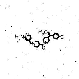 C/C=C(/c1ccc(Cl)cc1)C1CCN(C(=O)C2CCN(Cc3ccnc(N)c3)CC2)CC1